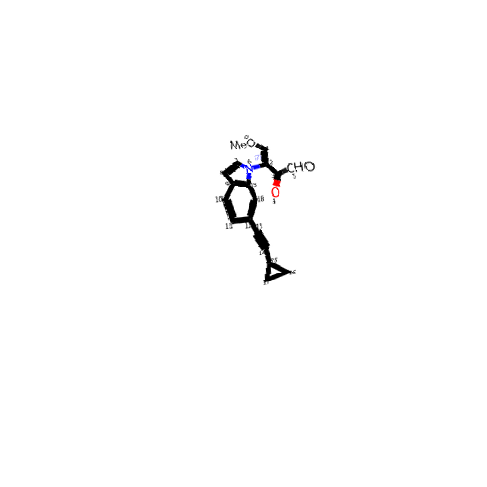 CO/C=C(/C(=O)C=O)n1ccc2ccc(C#CC3CC3)cc21